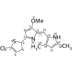 COC1=CC(C2CC=C(Cl)S2)=N/C1=C\c1[nH]c(C)cc1C